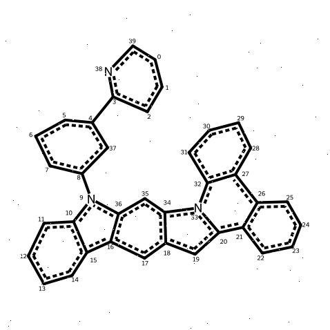 c1ccc(-c2cccc(-n3c4ccccc4c4cc5cc6c7ccccc7c7ccccc7n6c5cc43)c2)nc1